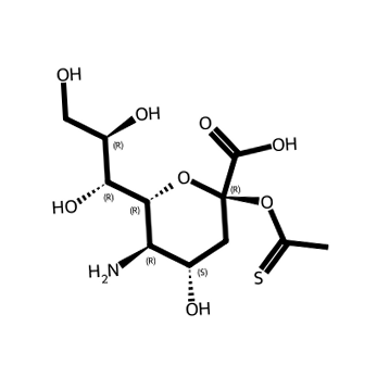 CC(=S)O[C@@]1(C(=O)O)C[C@H](O)[C@@H](N)[C@H]([C@H](O)[C@H](O)CO)O1